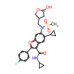 CS(=O)(=O)N(CC1COB(O)C1)c1cc2oc(-c3ccc(F)cc3)c(C(=O)NC3CC3)c2cc1C1CC1